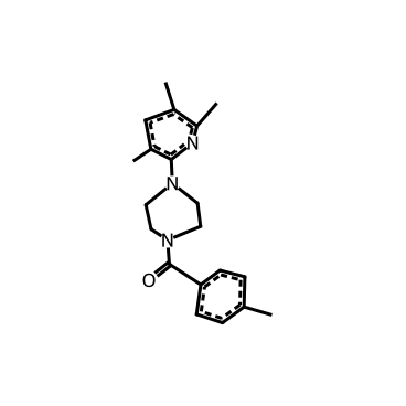 Cc1ccc(C(=O)N2CCN(c3nc(C)c(C)cc3C)CC2)cc1